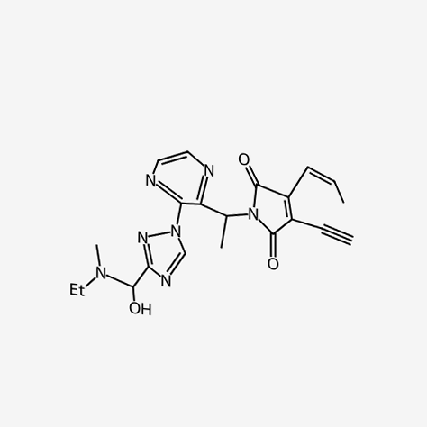 C#CC1=C(/C=C\C)C(=O)N(C(C)c2nccnc2-n2cnc(C(O)N(C)CC)n2)C1=O